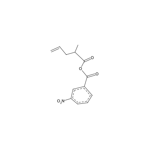 C=CCC(C)C(=O)OC(=O)c1cccc([N+](=O)[O-])c1